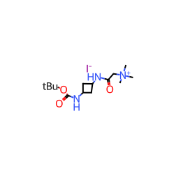 CC(C)(C)OC(=O)NC1CC(NC(=O)C[N+](C)(C)C)C1.[I-]